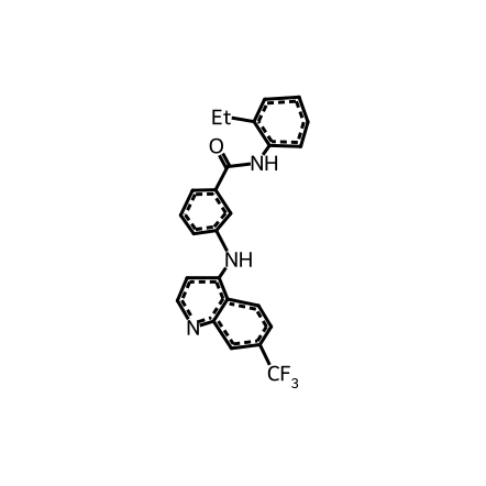 CCc1ccccc1NC(=O)c1cccc(Nc2ccnc3cc(C(F)(F)F)ccc23)c1